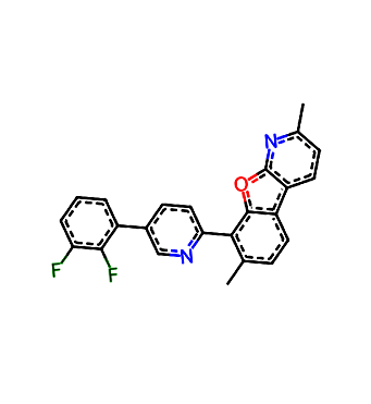 Cc1ccc2c(n1)oc1c(-c3ccc(-c4cccc(F)c4F)cn3)c(C)ccc12